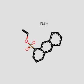 C=COS(=O)(=O)c1cccc2cc3ccccc3cc12.[NaH]